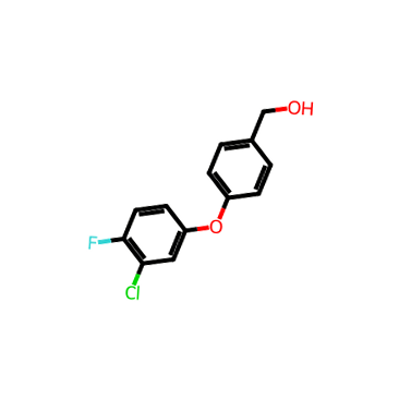 OCc1ccc(Oc2ccc(F)c(Cl)c2)cc1